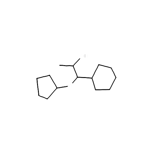 CC(O)C(OC1CCCC1)C1CCCCC1